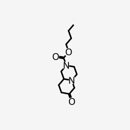 CCCCOC(=O)N1CCN2CC(=O)CCC2C1